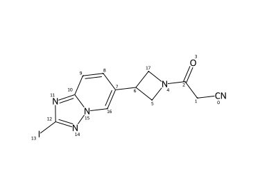 N#CCC(=O)N1CC(c2ccc3nc(I)nn3c2)C1